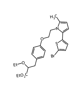 CCOC(=O)C(Cc1ccc(OCCn2c(C)ccc2-c2ccc(Br)s2)cc1)OCC